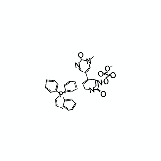 C/C=C\[P+](c1ccccc1)(c1ccccc1)c1ccccc1.Cn1cc(C2=CCN3CC2N(OS(=O)(=O)[O-])C3=O)cnc1=O